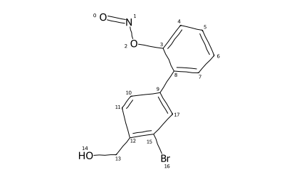 O=NOc1ccccc1-c1ccc(CO)c(Br)c1